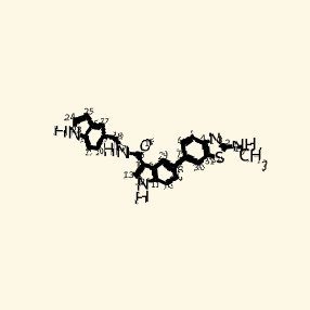 CNc1nc2ccc(-c3ccc4[nH]cc(C(=O)NCc5ccc6[nH]ccc6c5)c4c3)cc2s1